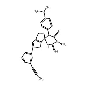 CC#Cc1cncc(-c2cc3c(s2)C2(CC3)NC(=N)N(C)C(=O)C2c2ccc(C(C)C)cc2)c1